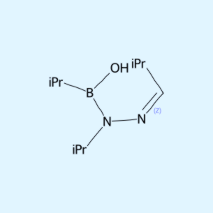 CC(C)/C=N\N(B(O)C(C)C)C(C)C